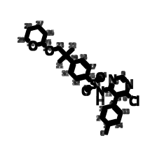 Cc1ccc(-c2c(Cl)ncnc2NS(=O)(=O)c2ccc(C(C)(C)COC3CCCCO3)cc2)cc1